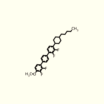 CCCCCC1CCC(c2ccc(-c3ccc(-c4ccc(OC)c(F)c4F)cc3)c(F)c2F)CC1